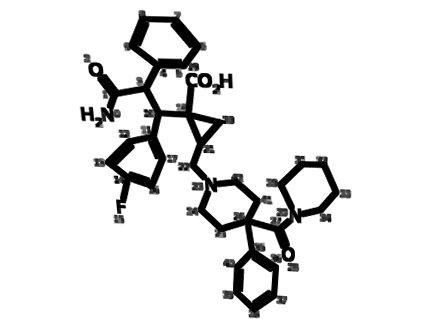 NC(=O)C(c1ccccc1)C(c1ccc(F)cc1)C1(C(=O)O)CC1CN1CCC(C(=O)N2CCCCC2)(c2ccccc2)CC1